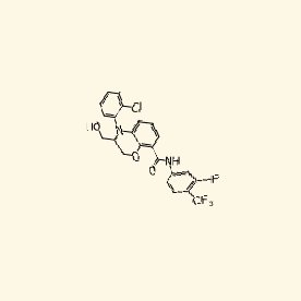 O=C(Nc1ccc(C(F)(F)F)c(F)c1)c1cccc2c1OCC(CO)N2c1ccccc1Cl